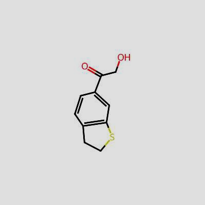 O=C(CO)c1ccc2c(c1)SCC2